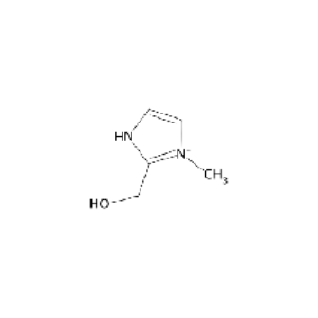 C[n+]1cc[nH]c1CO